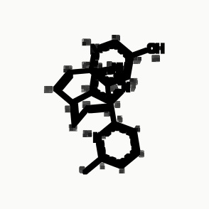 Cc1cccc(-c2n[nH]cc2C2=C\C=C\c3cc(O)cnc3/C=C\2)n1